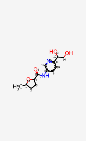 CC1CCC(C(=O)Nc2ccc(C(O)CO)nc2)O1